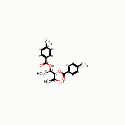 C=C(O)[C@@H](OC(=O)c1ccc(C)cc1)[C@H](OC(=O)c1ccc(C)cc1)C(=O)O